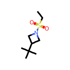 CCS(=O)(=O)N1CC(C(C)(C)C)C1